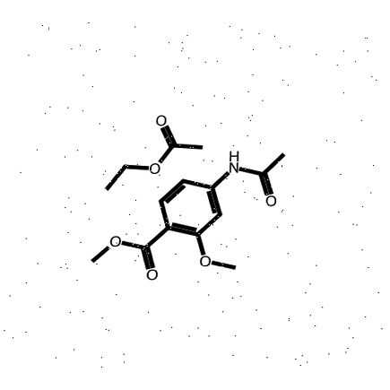 CCOC(C)=O.COC(=O)c1ccc(NC(C)=O)cc1OC